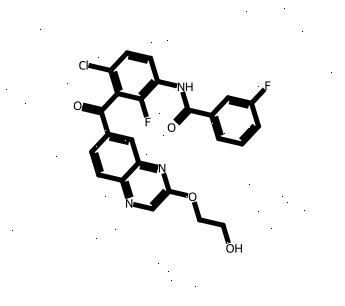 O=C(Nc1ccc(Cl)c(C(=O)c2ccc3ncc(OCCO)nc3c2)c1F)c1cccc(F)c1